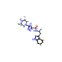 CC(Cc1c[nH]c2ccccc12)NC(=O)c1nnc(N2C[C@@H](C)N(C)[C@H](C)C2)[nH]1